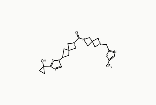 O=C(N1CC2(CC(n3cnc(C4(O)CC4)n3)C2)C1)N1CC2(CN(Cc3ncc(C(F)(F)F)s3)C2)C1